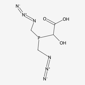 [N-]=[N+]=NCP(CN=[N+]=[N-])C(O)C(=O)O